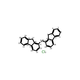 [Cl-].c1ccc2c(c1)Cc1[c]([V+][c]3cccc4c3Cc3ccccc3-4)cccc1-2